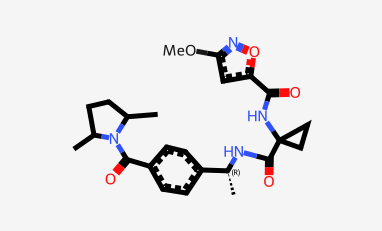 COc1cc(C(=O)NC2(C(=O)N[C@H](C)c3ccc(C(=O)N4C(C)CCC4C)cc3)CC2)on1